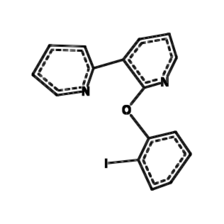 Ic1ccccc1Oc1ncccc1-c1ccccn1